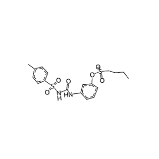 CCCCS(=O)(=O)Oc1cccc(NC(=O)NS(=O)(=O)c2ccc(C)cc2)c1